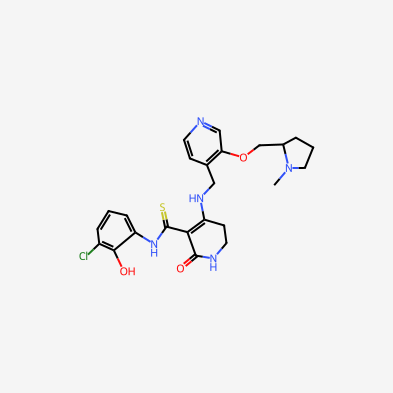 CN1CCCC1COc1cnccc1CNC1=C(C(=S)Nc2cccc(Cl)c2O)C(=O)NCC1